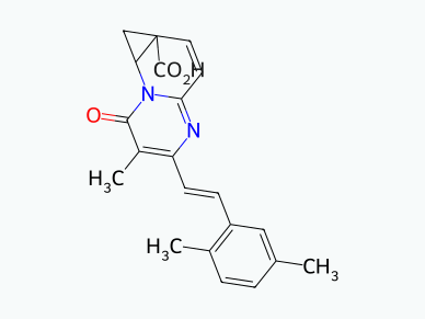 Cc1ccc(C)c(/C=C/c2nc3n(c(=O)c2C)C2CC2(C(=O)O)C=C3)c1